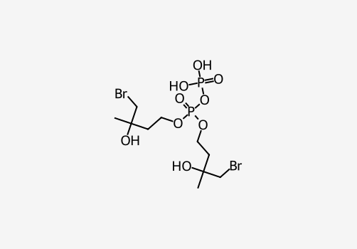 CC(O)(CBr)CCOP(=O)(OCCC(C)(O)CBr)OP(=O)(O)O